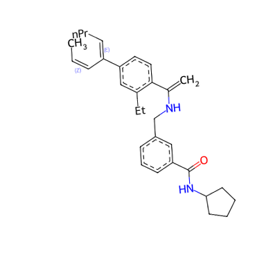 C=C(NCc1cccc(C(=O)NC2CCCC2)c1)c1ccc(C(/C=C\C)=C/CCC)cc1CC